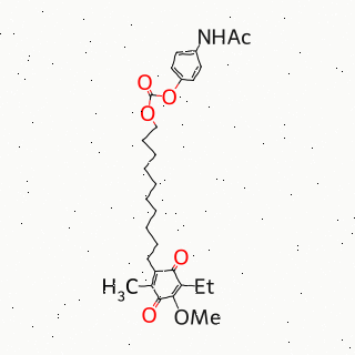 CCC1=C(OC)C(=O)C(C)=C(CCCCCCCCCCOC(=O)Oc2ccc(NC(C)=O)cc2)C1=O